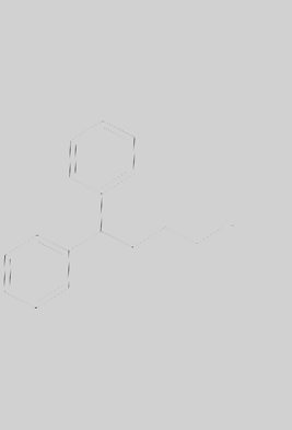 [SiH2]CCCC(c1ccccc1)c1ccccc1